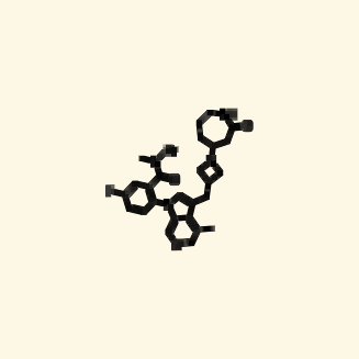 Cc1cncc2c1c(CC1CN(C3CCCNC(=O)C3)C1)cn2-c1ccc(F)cc1C(=O)N(C)C(C)C